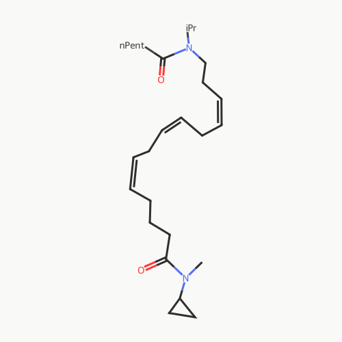 CCCCCC(=O)N(CC/C=C\C/C=C\C/C=C\CCCC(=O)N(C)C1CC1)C(C)C